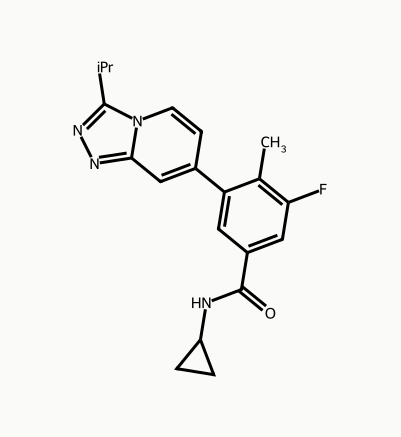 Cc1c(F)cc(C(=O)NC2CC2)cc1-c1ccn2c(C(C)C)nnc2c1